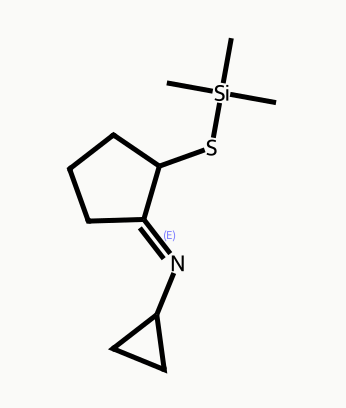 C[Si](C)(C)SC1CCC/C1=N\C1CC1